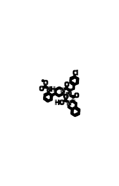 COC(=O)Nc1ccccc1C1CCN(C(=O)[C@@H](Cc2ccc(Cl)cc2)NC(=O)[C@@H]2Cc3ccccc3CN2C(=O)O)CC1